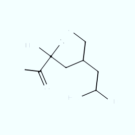 CCC(CC(C)C)CC(C)(N)C(=O)O